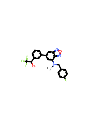 CN(Cc1ccc(F)cc1)c1cc(-c2cccc(C(O)C(F)(F)F)c2)cc2nonc12